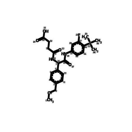 COCc1ccc([C@@H](NC(=O)CCC(=O)O)C(=O)Nc2ccc(S(C)(C)C)c(F)c2)cc1